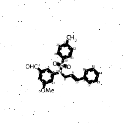 COc1cc(C=O)cc(N(CC=Cc2ccccc2)S(=O)(=O)c2ccc(C)cc2)c1